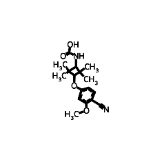 COc1cc(OC2C(C)(C)C(NC(=O)O)C2(C)C)ccc1C#N